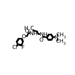 C=C(CCNC(=O)c1ccc(N(C)C)cc1)NC(=O)COc1ccc(Cl)c(F)c1